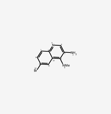 CNc1c(N)cnc2ccc(Br)cc12